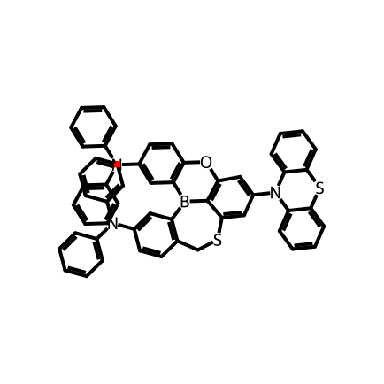 c1ccc(N(c2ccccc2)c2ccc3c(c2)B2c4cc(N(c5ccccc5)c5ccccc5)ccc4Oc4cc(N5c6ccccc6Sc6ccccc65)cc(c42)SC3)cc1